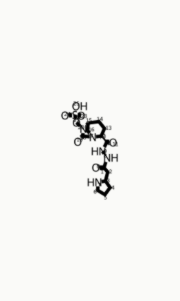 O=C(CC1CCCN1)NNC(=O)[C@@H]1CCC2CN1C(=O)N2OS(=O)(=O)O